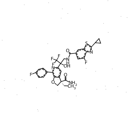 CC[C@]1(C(N)=O)COc2c1cc(C(O)(CNC(=O)c1cc(F)c3nc(C4CC4)sc3c1)C(F)(F)F)nc2-c1ccc(F)cc1